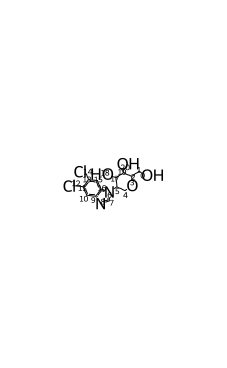 OCC1OCC(n2cnc3cc(Cl)c(Cl)cc32)C(O)C1O